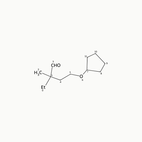 CCC(C)(C=O)CCOC1CCCC1